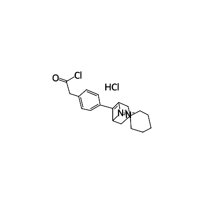 Cl.[N-]=[N+]1C2=C(c3ccc(CC(=O)Cl)cc3)C1CC1(CCCCC1)C2